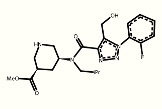 COC(=O)[C@H]1CNC[C@@H](N(CC(C)C)C(=O)c2nnn(-c3ccccc3F)c2CO)C1